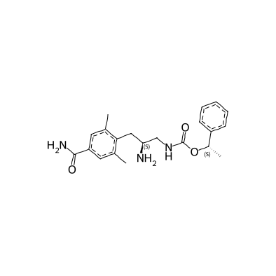 Cc1cc(C(N)=O)cc(C)c1C[C@H](N)CNC(=O)O[C@@H](C)c1ccccc1